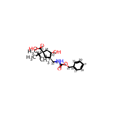 CC(C)(C)[C@]1(C(=O)O)C[C@H](CNC(=O)OCc2ccccc2)[C@H](O)C1